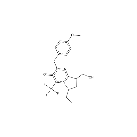 CCC1CC(CO)c2nn(Cc3ccc(OC)cc3)c(=O)c(C(F)(F)F)c21